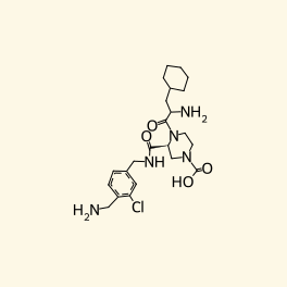 NCc1ccc(CNC(=O)[C@@H]2CN(C(=O)O)CCN2C(=O)C(N)CC2CCCCC2)cc1Cl